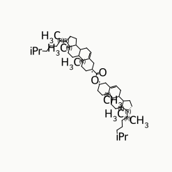 CC(C)CCC[C@@H](C)[C@H]1CCC2C3CC=C4C[C](OC(=O)[C]5CC[C@@]6(C)C(=CCC7C6CC[C@@]6(C)C7CC[C@@H]6[C@H](C)CCCC(C)C)C5)CC[C@]4(C)C3CC[C@@]21C